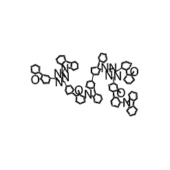 c1ccc2c(c1)oc1ccc(-c3nc(-c4ccc5c(c4)oc4c(-n6c7ccccc7c7cc(-c8ccc9c%10ccccc%10n(-c%10nc(-c%11ccc%12c(c%11)oc%11c(-n%13c%14ccccc%14c%14ccccc%14%13)cccc%11%12)nc(-c%11cccc%12oc%13ccccc%13c%11%12)n%10)c9c8)ccc76)cccc45)nc(-n4c5ccccc5c5ccccc54)n3)cc12